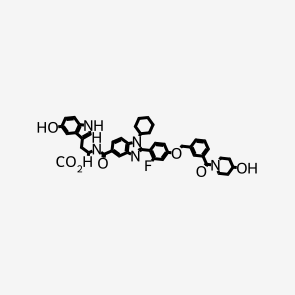 O=C(NC(Cc1c[nH]c2ccc(O)cc12)C(=O)O)c1ccc2c(c1)nc(-c1ccc(OCc3cccc(C(=O)N4CCC(O)CC4)c3)cc1F)n2C1CCCCC1